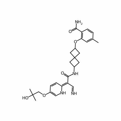 Cc1ccc(C(N)=O)c(OC2CC3(CC(NC(=O)/C(C=N)=C4\C=CC(OCC(C)(C)O)=CN4)C3)C2)c1